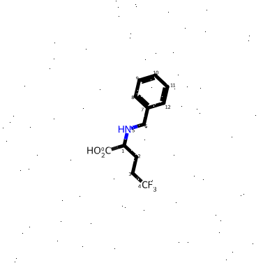 O=C(O)C(CCC(F)(F)F)NCc1ccccc1